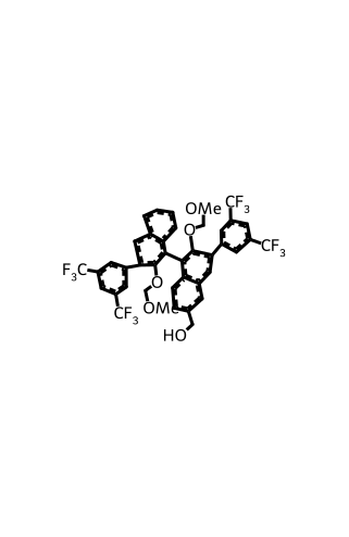 COCOc1c(-c2cc(C(F)(F)F)cc(C(F)(F)F)c2)cc2ccccc2c1-c1c(OCOC)c(-c2cc(C(F)(F)F)cc(C(F)(F)F)c2)cc2cc(CO)ccc12